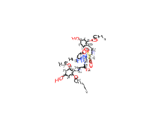 COc1cc(O)cc(OC)c1/C=C\S(=O)(=O)NC(=O)/C=C/c1c(OC)cc(O)cc1OC